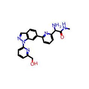 CNC(=O)C(N)c1cccc(-c2ccc3cnn(-c4cccc(CO)n4)c3c2)n1